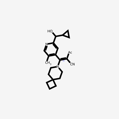 CC(=O)/C(C#N)=C(\c1cc(C(O)C2CC2)ncc1C)N1CCC2(CCC2)CC1